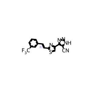 N#Cc1[nH]nnc1-c1csc(/C=C/c2cccc(C(F)(F)F)c2)n1